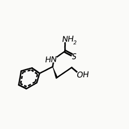 NC(=S)N[C@@H](CCO)c1ccccc1